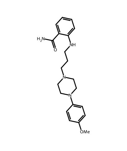 COc1ccc(N2CCN(CCCNc3ccccc3C(N)=O)CC2)cc1